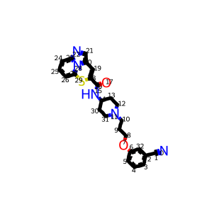 N#Cc1cccc(OCCCN2CCC(NC(=O)C3=Cc4cnc5cccc(n45)S3)CC2)c1